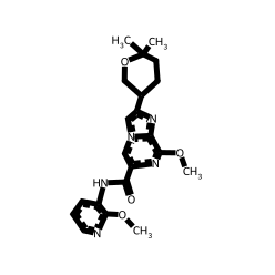 COc1ncccc1NC(=O)c1cn2cc(C3CCC(C)(C)OC3)nc2c(OC)n1